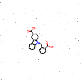 O=C(O)c1ccccc1Cn1c2c(c3ccccc31)CC(C(=O)O)CC2